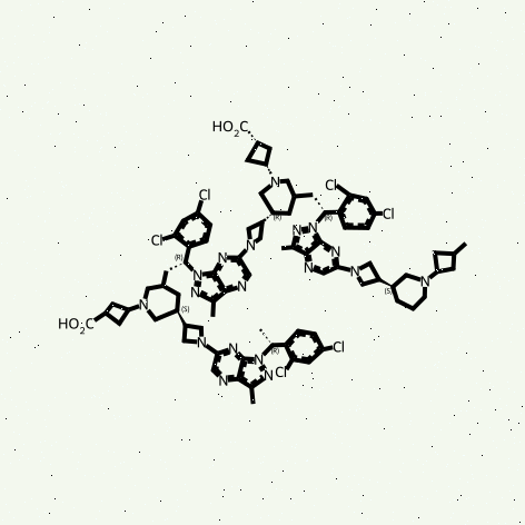 Cc1nn([C@H](C)c2ccc(Cl)cc2Cl)c2nc(N3CC([C@@H]4CC(C[C@H](c5ccc(Cl)cc5Cl)n5nc(C)c6ncc(N7CC([C@H]8CC(C[C@H](c9ccc(Cl)cc9Cl)n9nc(C)c%10ncc(N%11CC([C@@H]%12CCCN(C%13CC(C)C%13)C%12)C%11)nc%109)CN([C@H]9C[C@@H](C(=O)O)C9)C8)C7)nc65)CN(C5CC(C(=O)O)C5)C4)C3)cnc12